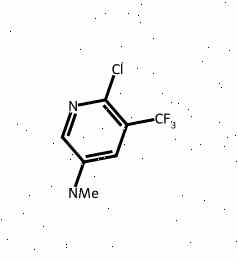 CNc1cnc(Cl)c(C(F)(F)F)c1